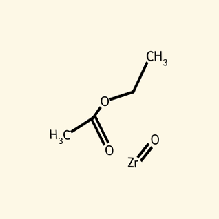 CCOC(C)=O.[O]=[Zr]